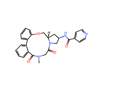 CN1CC(=O)N2C[C@H](NC(=O)c3ccncc3)C[C@H]2COc2ccccc2-c2ccccc2C1=O